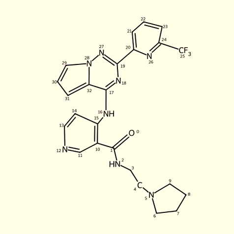 O=C(NCCN1CCCC1)c1cnccc1Nc1nc(-c2cccc(C(F)(F)F)n2)nn2cccc12